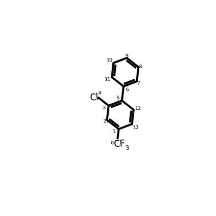 FC(F)(F)c1[c]c(Cl)c(-c2ccccc2)cc1